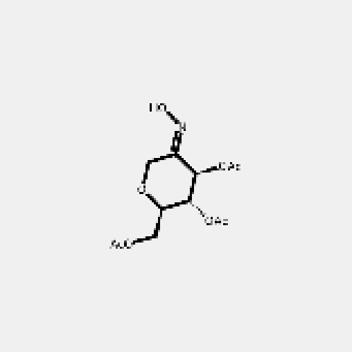 CC(=O)OC[C@H]1O[CH]C(=NO)[C@@H](OC(C)=O)[C@@H]1OC(C)=O